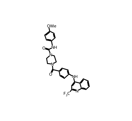 COc1ccc(NC(=O)N2CCN(C(=O)c3ccc(Nc4cc(C(F)(F)F)nc5ccccc45)cc3)CC2)cc1